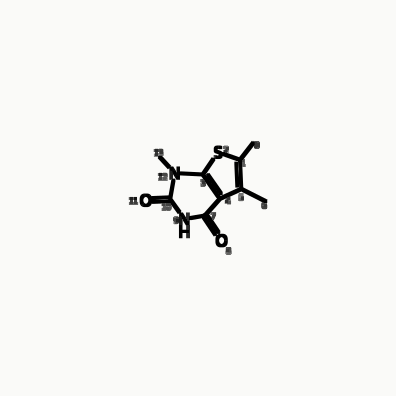 Cc1sc2c(c1C)c(=O)[nH]c(=O)n2C